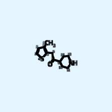 Cc1ccsc1CC(=O)C1CCNCC1